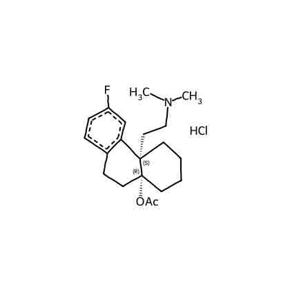 CC(=O)O[C@@]12CCCC[C@]1(CCN(C)C)c1cc(F)ccc1CC2.Cl